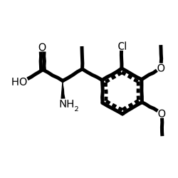 COc1ccc(C(C)[C@@H](N)C(=O)O)c(Cl)c1OC